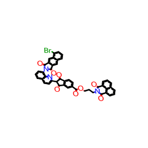 O=C(OCCCN1C(=O)c2cccc3cccc(c23)C1=O)c1ccc2c(c1)C(=O)C(c1ccc3cccc(N4C(=O)c5cc6cccc(Br)c6cc5C4=O)c3n1)C2=O